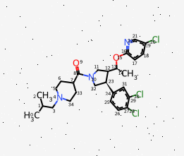 CC(C)CN1CCC(C(=O)N2CC([C@H](C)Oc3ccc(Cl)cn3)[C@@H](c3ccc(Cl)c(Cl)c3)C2)CC1